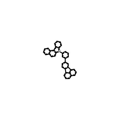 c1cc(-c2ccc3c(c2)-c2cccc4cccc-3c24)cc(-n2c3ccccc3c3c4ccccc4ccc32)c1